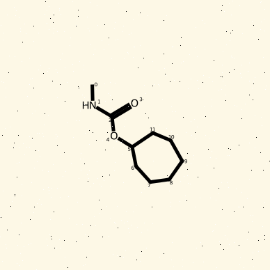 CNC(=O)OC1[CH]CCCCC1